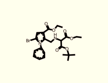 CCOC(=O)c1cc(Br)n(-c2ccccc2)c1CNC(C(=O)OCC)C(=O)OC(C)(C)C